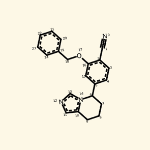 N#Cc1ccc(C2CCCc3cncn32)cc1OCc1ccccc1